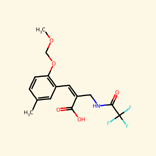 COCOc1ccc(C)cc1C=C(CNC(=O)C(F)(F)F)C(=O)O